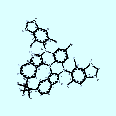 Cc1cc2c3c(c1)N(c1c(C)cc4c(c1C)OCO4)c1oc4ccc(C(C)(C)C)cc4c1B3c1c(oc3ccc(C(C)(C)C)cc13)N2c1c(C)cc2c(c1C)OCO2